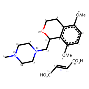 COc1ccc(OC)c2c1CCOC2CN1CCN(C)CC1.O=C(O)/C=C/C(=O)O